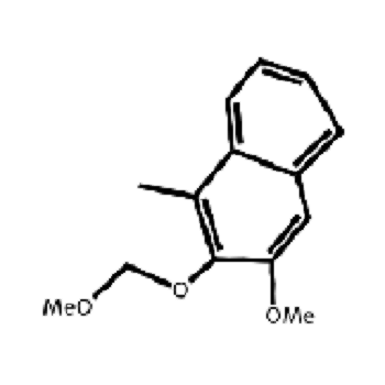 COCOc1c(OC)cc2ccccc2c1C